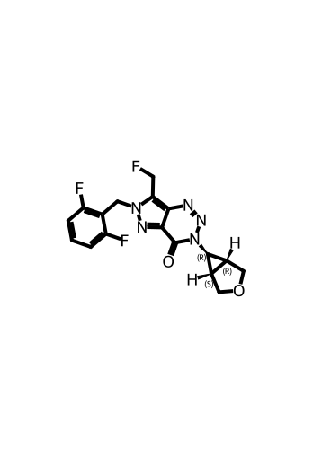 O=c1c2nn(Cc3c(F)cccc3F)c(CF)c2nnn1[C@H]1[C@@H]2COC[C@@H]21